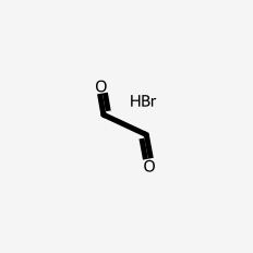 Br.O=CC=O